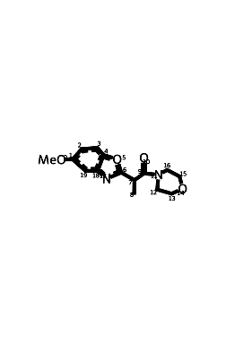 COc1ccc2oc(C(C)C(=O)N3CCOCC3)nc2c1